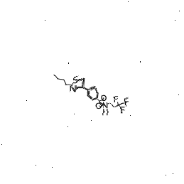 CCCCc1nc(-c2ccc(S(=O)(=O)NCCC(F)(F)F)cc2)cs1